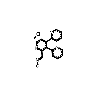 CCl.ON=Cc1nccc(-c2ccccn2)c1-c1ccccn1